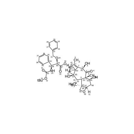 CC1=C2[C@@H](O)C(=O)[C@@]3(C)C([C@H](C)[C@](O)(C[C@@H]1OC(=O)[C@H](OCc1ccccc1)[C@@H](NC(=O)OC(C)(C)C)c1ccccc1)C2(C)C)[C@]1(C)CO[C@@H]1C[C@@H]3O